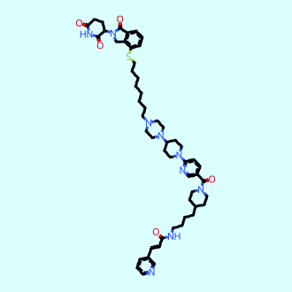 O=C(/C=C/c1cccnc1)NCCCCC1CCN(C(=O)c2ccc(N3CCC(N4CCN(CCCCCCCCSc5cccc6c5CN(C5CCC(=O)NC5=O)C6=O)CC4)CC3)nc2)CC1